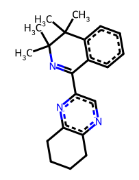 CC1(C)N=C(c2cnc3c(n2)CCCC3)c2ccccc2C1(C)C